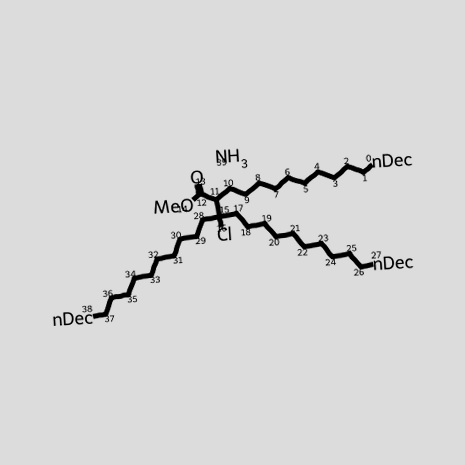 CCCCCCCCCCCCCCCCCCCCC(C(=O)OC)C(Cl)(CCCCCCCCCCCCCCCCCCCC)CCCCCCCCCCCCCCCCCCCC.N